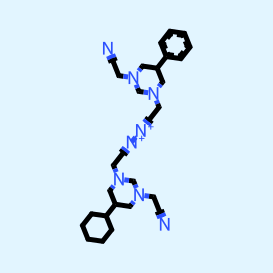 N#CCN1CC(c2ccccc2)CN(CC#[N+][N+]#CCN2CC(C3CCCCC3)CN(CC#N)C2)C1